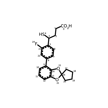 O=C(O)CCC(S)c1ccc(-c2cccc3c2OC2(CCCC2)O3)cc1F